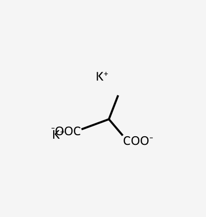 CC(C(=O)[O-])C(=O)[O-].[K+].[K+]